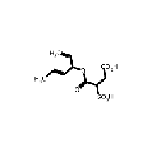 C=CC(C=CC)OC(=O)C(CC(=O)O)S(=O)(=O)O